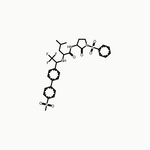 CC(C)CC(NC(c1ccc(-c2ccc(S(C)(=O)=O)cc2)cc1)C(F)(F)F)C(=O)NC1CCN(S(=O)(=O)c2ccccc2)C1=O